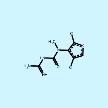 CN(C(=O)NC(=N)N)c1c(Cl)csc1Cl